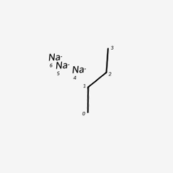 CCCC.[Na].[Na].[Na]